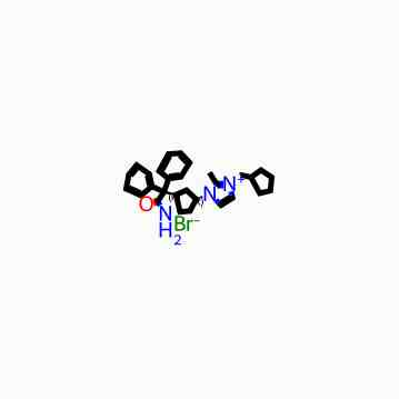 Cc1n([C@@H]2CC[C@@H](C(C(N)=O)(c3ccccc3)c3ccccc3)C2)cc[n+]1CC1CCCC1.[Br-]